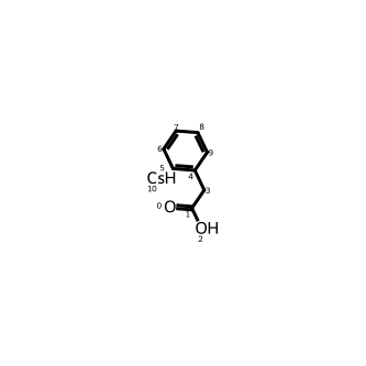 O=C(O)Cc1ccccc1.[CsH]